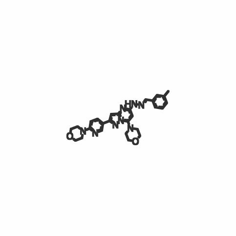 Cc1cccc(/C=N/Nc2cc(N3CCOCC3)n3nc(-c4ccc(N5CCOCC5)nc4)cc3n2)c1